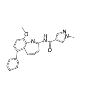 COc1ccc(-c2ccccc2)c2c1N=C(NC(=O)c1cnn(C)c1)C=C=C2